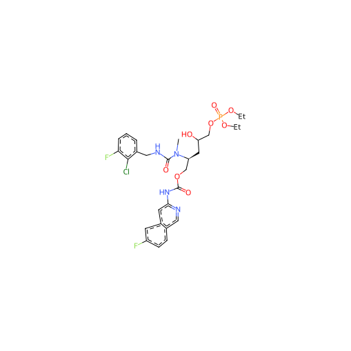 CCOP(=O)(OCC)OCC(O)C[C@@H](COC(=O)Nc1cc2cc(F)ccc2cn1)N(C)C(=O)NCc1cccc(F)c1Cl